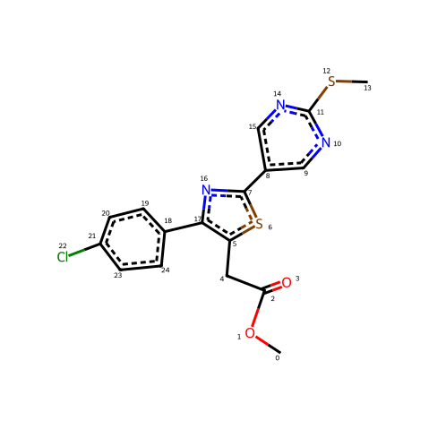 COC(=O)Cc1sc(-c2cnc(SC)nc2)nc1-c1ccc(Cl)cc1